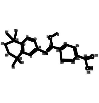 CO/C(=N\c1ccc2c(c1)C(C)(C)CCC2(C)C)c1ccc(C(=O)O)cc1